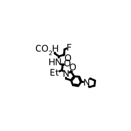 CCC(C(=O)NC(CC(=O)O)C(=O)CF)N1Cc2ccc(N3CCCC3)cc2C1=O